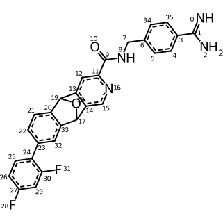 N=C(N)c1ccc(CNC(=O)c2cc3c(cn2)C2OC3c3ccc(-c4ccc(F)cc4F)cc32)cc1